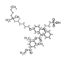 CCCC[N+](C)(C)CCCCCCOc1ccc2c(c1)c(C(=O)Oc1c(C)cc(C(=O)OC)cc1C)c1ccccc1[n+]2CCCS(=O)(=O)O